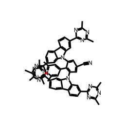 Cc1cc(-c2c(-n3c4cc(-c5nc(C)nc(C)n5)ccc4c4ccc(-c5nc(C)nc(C)n5)cc43)cc(C#N)cc2-n2c3cc(-c4nc(C)nc(C)n4)ccc3c3ccc(-c4nc(C)nc(C)n4)cc32)cc(C)n1